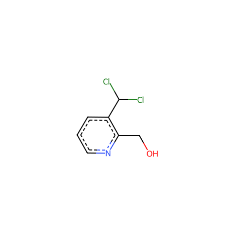 OCc1ncccc1C(Cl)Cl